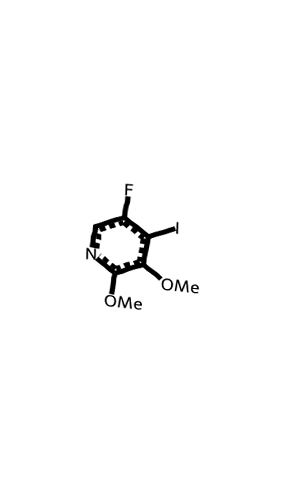 COc1ncc(F)c(I)c1OC